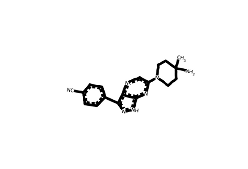 CC1(N)CCN(c2cnc3c(-c4ccc(C#N)cc4)n[nH]c3n2)CC1